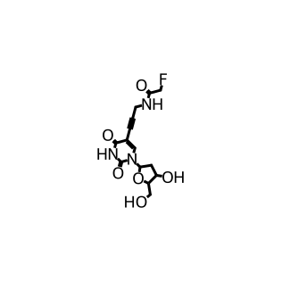 O=C(CF)NCC#Cc1cn(C2CC(O)C(CO)O2)c(=O)[nH]c1=O